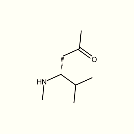 CN[C@H](CC(C)=O)C(C)C